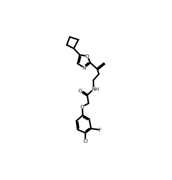 C=C(CCNC(=O)COc1ccc(Cl)c(F)c1)c1ncc(C2CCC2)o1